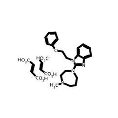 CN1CCCN(c2nc3ccccc3n2CCOc2ccccc2)CC1.O=C(O)C=CC(=O)O.O=C(O)C=CC(=O)O